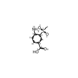 CS(=O)(=O)c1cc(C(=O)O)ccc1N